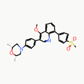 COc1c(-c2ccc(N3C[C@@H](C)O[C@@H](C)C3)cc2)cnc2c(-c3ccc(S(C)(=O)=O)cc3)cccc12